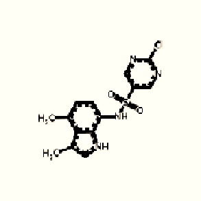 Cc1ccc(NS(=O)(=O)c2cnc(Cl)nc2)c2[nH]cc(C)c12